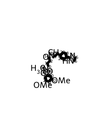 COc1ccc(S(=O)(=O)N(C)CCCC(=O)N(C)CCc2ccc(C3=NCCN3)cc2)cc1OC